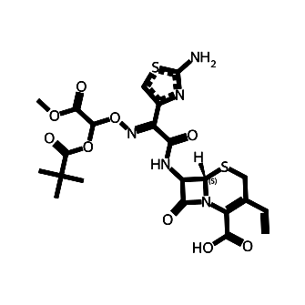 C=CC1=C(C(=O)O)N2C(=O)C(NC(=O)C(=NOC(OC(=O)C(C)(C)C)C(=O)OC)c3csc(N)n3)[C@@H]2SC1